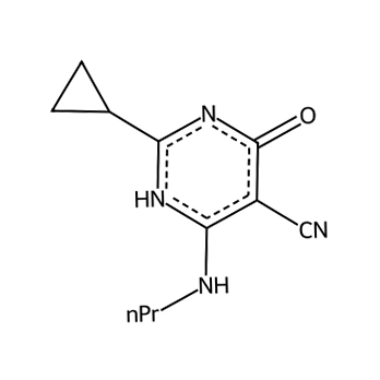 CCCNc1[nH]c(C2CC2)nc(=O)c1C#N